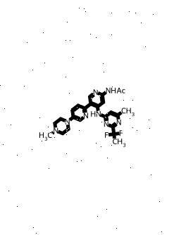 CC(=O)Nc1cc(Nc2cc(C)nc(C(C)(F)F)n2)c(-c2ccc(N3CCN(C)CC3)cn2)cn1